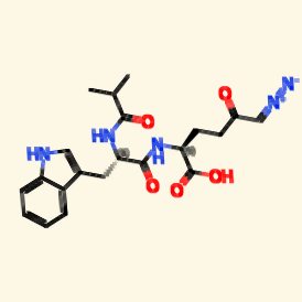 CC(C)C(=O)N[C@@H](Cc1c[nH]c2ccccc12)C(=O)N[C@@H](CCC(=O)C=[N+]=[N-])C(=O)O